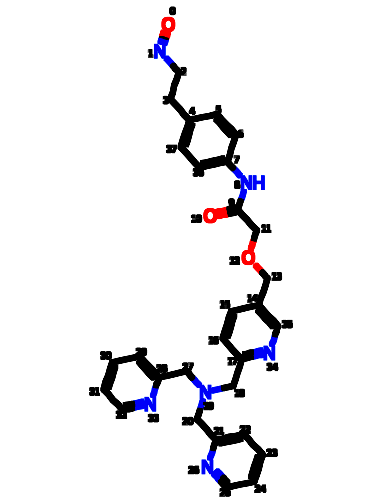 O=NCCc1ccc(NC(=O)COCc2ccc(CN(Cc3ccccn3)Cc3ccccn3)nc2)cc1